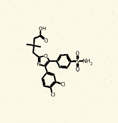 CC(C)(CC(=O)O)Cc1nc(-c2ccc(Cl)c(Cl)c2)c(-c2ccc(S(N)(=O)=O)cc2)o1